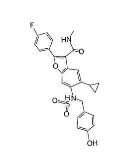 CNC(=O)c1c(-c2ccc(F)cc2)oc2cc(N(Cc3ccc(O)cc3)[SH](=O)=O)c(C3CC3)cc12